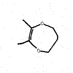 CC1=C(C)OCCCO1